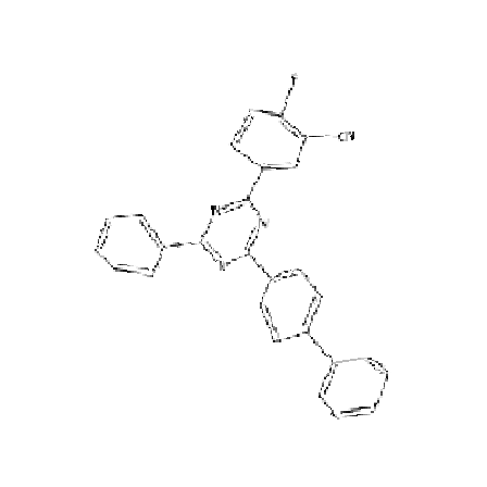 N#Cc1cc(-c2nc(-c3ccccc3)nc(-c3ccc(-c4ccccc4)cc3)n2)ccc1F